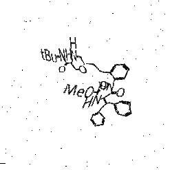 COC(=O)NC(C(=O)Nc1ccccc1CC[C@@H]1CN[C@H](C(=O)NC(C)(C)C)CO1)C(c1ccccc1)c1ccccc1